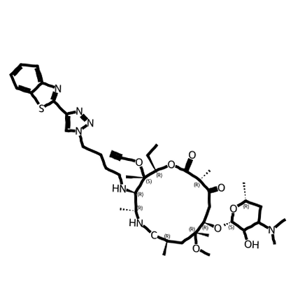 C#CO[C@@]1(C)[C@H](NCCCCn2cc(-c3nc4ccccc4s3)nn2)[C@@H](C)NC[C@H](C)C[C@@](C)(OC)[C@H](O[C@@H]2O[C@H](C)CC(N(C)C)C2O)CC(=O)[C@@H](C)C(=O)O[C@@H]1CC